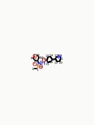 CCS(=O)(=O)N[C@H]1CCOC[C@@H]1COc1ccc(-c2cccnc2)cc1